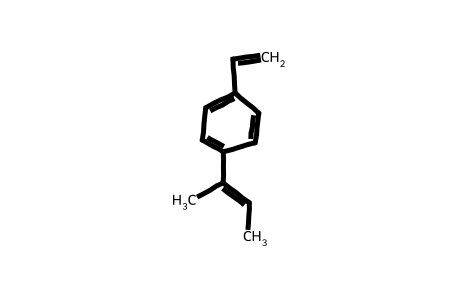 C=Cc1ccc(C(C)=CC)cc1